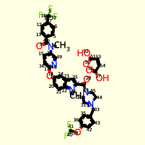 CN(C(=O)c1ccc(C(F)(F)F)cc1)c1ccc(Oc2ccc3c(c2)cc(C(=O)N2CCN(Cc4ccc(OC(F)F)cc4)CC2)n3C)nc1.O=C(O)/C=C\C(=O)O